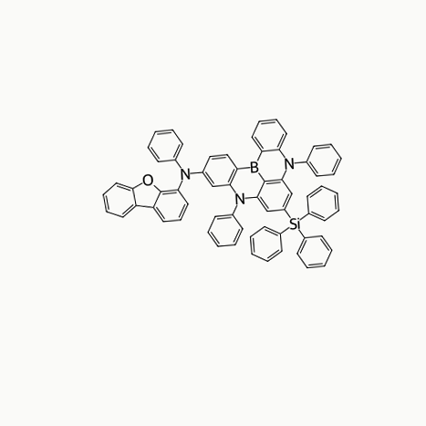 c1ccc(N2c3ccccc3B3c4ccc(N(c5ccccc5)c5cccc6c5oc5ccccc56)cc4N(c4ccccc4)c4cc([Si](c5ccccc5)(c5ccccc5)c5ccccc5)cc2c43)cc1